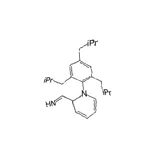 CC(C)Cc1cc(CC(C)C)c(N2C=CC=CC2C=N)c(CC(C)C)c1